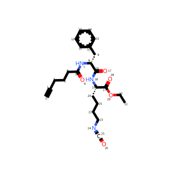 C#CCCCC(=O)N[C@H](Cc1ccccc1)C(=O)N[C@@H](CCCCN=C=O)C(=O)OCC